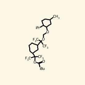 CCC(C)C(=O)OC(C1CCCC(C(OCOC2CC(C)CCC2C(C)C)(C(F)(F)F)C(F)(F)F)C1)(C(F)(F)F)C(F)(F)F